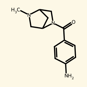 CN1CC2CC1CN2C(=O)c1ccc(N)cc1